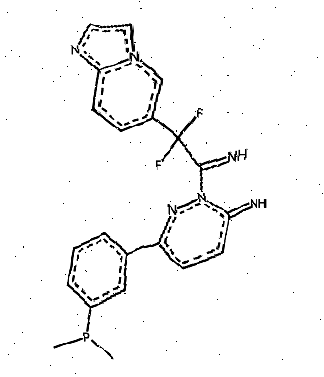 CP(C)c1cccc(-c2ccc(=N)n(C(=N)C(F)(F)c3ccc4nccn4c3)n2)c1